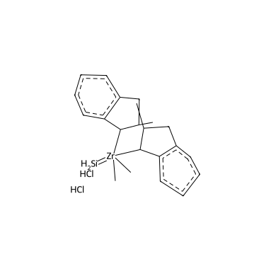 CC1Cc2ccccc2[CH]1[Zr]([CH3])([CH3])(=[SiH2])[CH]1c2ccccc2CC1C.Cl.Cl